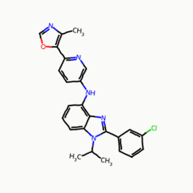 Cc1ncoc1-c1ccc(Nc2cccc3c2nc(-c2cccc(Cl)c2)n3C(C)C)cn1